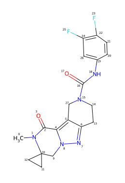 CN1C(=O)c2c3c(nn2CC12CC2)CCN(C(=O)Nc1ccc(F)c(F)c1)C3